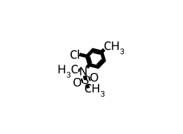 Cc1ccc(N(C)S(C)(=O)=O)c(Cl)c1